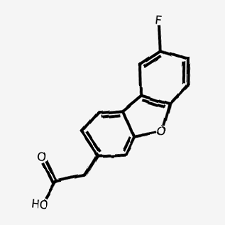 O=C(O)Cc1ccc2c(c1)oc1ccc(F)cc12